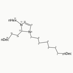 CCCCCCCCCCCCCCCCCN1C=CN(CCCCCC)C1CCCCCCCCCCCC